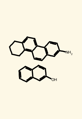 Nc1ccc2c(ccc3c4c(ccc32)CCCC4)c1.Oc1ccc2ccccc2c1